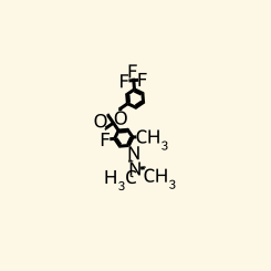 CCN(C)C=Nc1cc(F)c(C2(OCc3cccc(C(F)(F)F)c3)COC2)cc1C